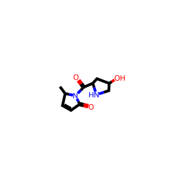 CC1C=CC(=O)N1C(=O)C1CC(O)CN1